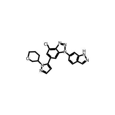 Clc1cc(-c2ccnn2C2CCCOC2)cc2c1nnn2-c1ccc2cn[nH]c2c1